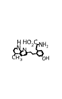 CC1CCNc2nc(CCc3cc(O)ccc3C[C@H](N)C(=O)O)ccc21